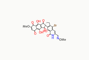 CON=Cc1cc2c(Br)c3c(c(O)c2c(=O)[nH]1)[C@@]1(CC3)C(=O)c2c(O)c3c(c(O)c2C1=O)C(=O)C(OC)=CC3=O